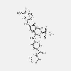 CC(C)(C)OC(=O)Nc1cn2c(Nc3ccc(C(=O)N4CCOCC4)cc3)nc(S(C)(=O)=O)nc2n1